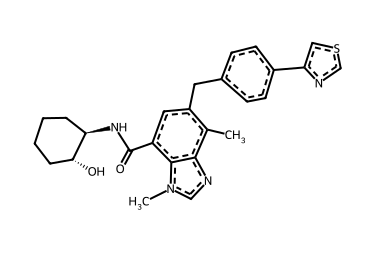 Cc1c(Cc2ccc(-c3cscn3)cc2)cc(C(=O)N[C@@H]2CCCC[C@H]2O)c2c1ncn2C